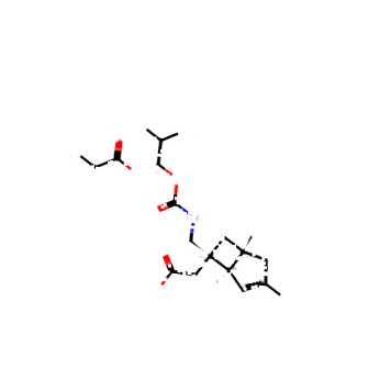 CCC(=O)O[C@@H](OC(=O)NC[C@@]1(CC(=O)O)C[C@@H]2CC(C)=C[C@@H]21)C(C)C